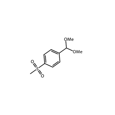 COC(OC)c1ccc(S(C)(=O)=O)cc1